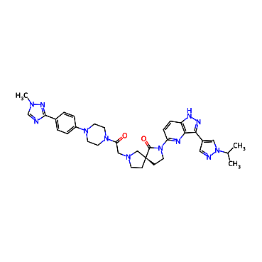 CC(C)n1cc(-c2n[nH]c3ccc(N4CC[C@]5(CCN(CC(=O)N6CCN(c7ccc(-c8ncn(C)n8)cc7)CC6)C5)C4=O)nc23)cn1